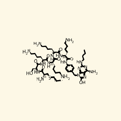 [CH2][CH]CSC[C@@H](N)C(=O)N[C@@H](CO)C(=O)N[C@@H](CCCCN)C(=O)N[C@@H](CCCCN)C(=O)N[C@@H](CCCCN)C(=O)N[C@H](CCCCN)C(=O)Nc1ccc(Cn2c(O)nc3c(N)nc(NCCCC)nc32)cc1